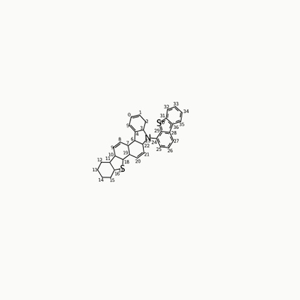 C1=CCC2C(=C1)C1C3C=CC4C5CCCCC5SC4C3C=CC1N2c1cccc2c1sc1ccccc12